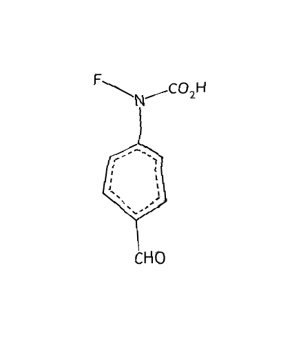 O=Cc1ccc(N(F)C(=O)O)cc1